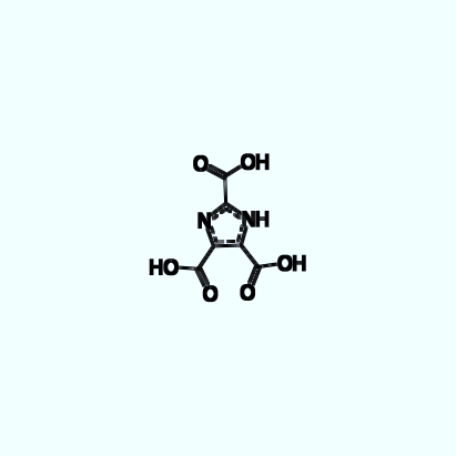 O=C(O)c1nc(C(=O)O)c(C(=O)O)[nH]1